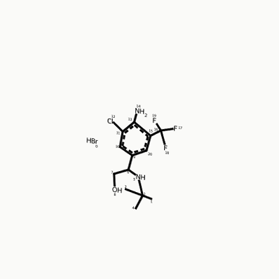 Br.CC(C)(C)NC(CO)c1cc(Cl)c(N)c(C(F)(F)F)c1